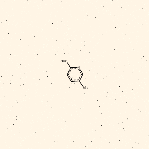 CCCCc1ccc(C=O)nc1